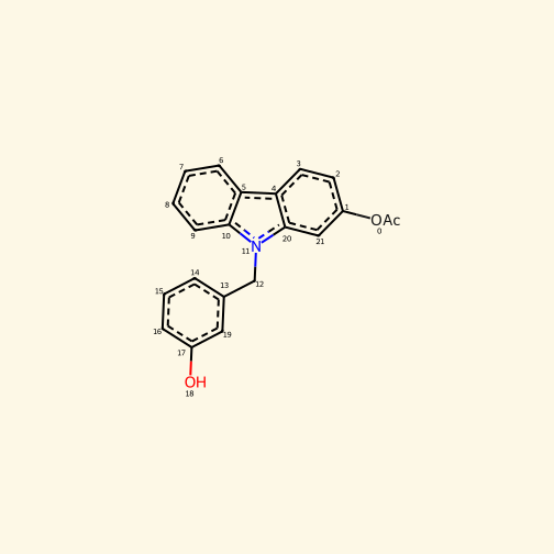 CC(=O)Oc1ccc2c3ccccc3n(Cc3cccc(O)c3)c2c1